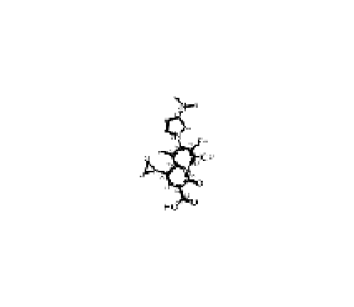 Cc1c(N2CC[C@@H](N(C)C)C2)c(F)cn2c(=O)c(C(=O)O)cc(C3CC3)c12.Cl